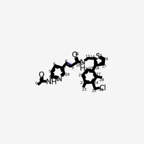 CC(=O)Nc1ccc(/C=C/C(=O)NCc2sccc2-c2ccc(C)c(CCl)c2C)cn1